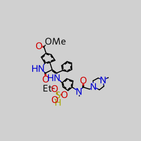 CCO[SH](=O)=O.COC(=O)c1ccc2c(c1)NC(=O)/C2=C(\Nc1ccc(N(C)C(=O)CN2CCN(C)CC2)cc1)c1ccccc1